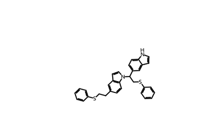 c1ccc(SCCc2ccc3c(ccn3C(CSc3ccccc3)c3ccc4[nH]ccc4c3)c2)cc1